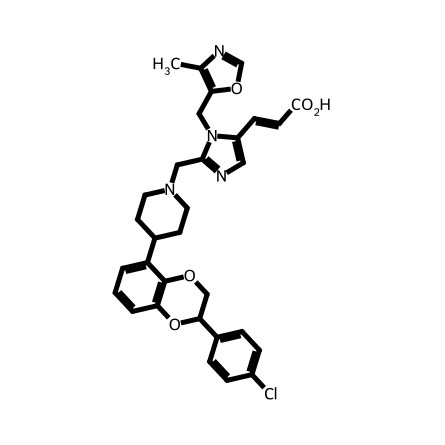 Cc1ncoc1Cn1c(C=CC(=O)O)cnc1CN1CCC(c2cccc3c2OCC(c2ccc(Cl)cc2)O3)CC1